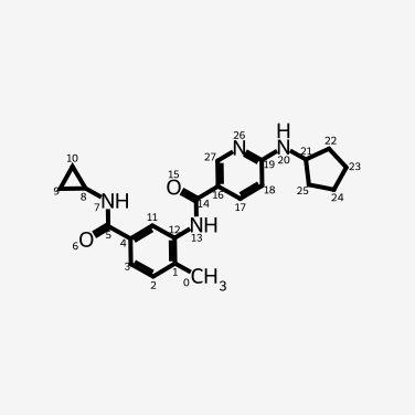 Cc1ccc(C(=O)NC2CC2)cc1NC(=O)c1ccc(NC2CCCC2)nc1